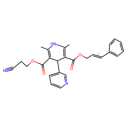 CC1=C(C(=O)OC/C=C/c2ccccc2)C(c2cccnc2)C(C(=O)OCCC#N)=C(C)N1